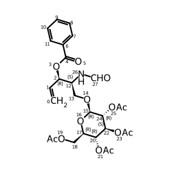 C=C[C@@H](OC(=O)c1ccccc1)[C@H](CO[C@@H]1O[C@H](COC(C)=O)[C@@H](OC(C)=O)[C@H](OC(C)=O)[C@H]1OC(C)=O)NC=O